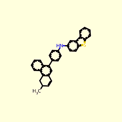 CC1C=Cc2cc(-c3ccc(Nc4ccc5sc6ccccc6c5c4)cc3)c3ccccc3c2C1